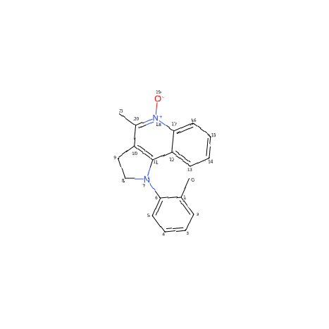 Cc1ccccc1N1CCc2c1c1ccccc1[n+]([O-])c2C